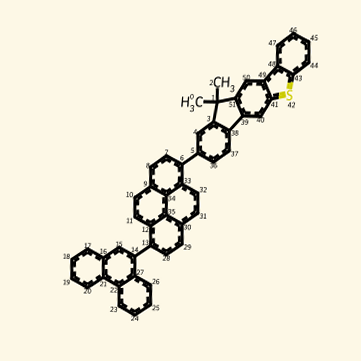 CC1(C)c2cc(-c3ccc4ccc5c(-c6cc7ccccc7c7ccccc67)ccc6ccc3c4c65)ccc2-c2cc3sc4ccccc4c3cc21